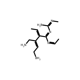 BCC=C(CN)C(=C\C)/C(/N=C\C)=N\C(B)=N/C